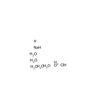 Cl.O.O.O.O.O.O.[Ir].[NaH]